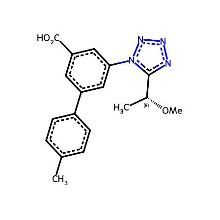 CO[C@H](C)c1nnnn1-c1cc(C(=O)O)cc(-c2ccc(C)cc2)c1